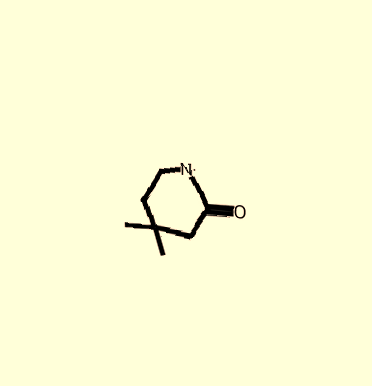 CC1(C)CC[N]C(=O)C1